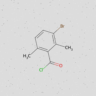 Cc1ccc(Br)c(C)c1C(=O)Cl